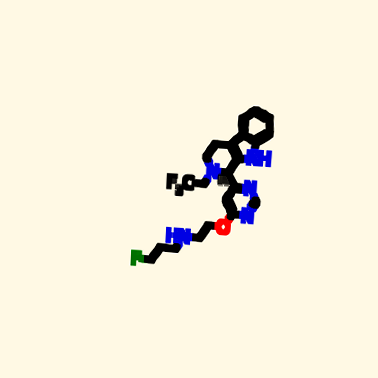 FCCCNCCOc1cc([C@@H]2c3[nH]c4ccccc4c3CCN2CC(F)(F)F)ncn1